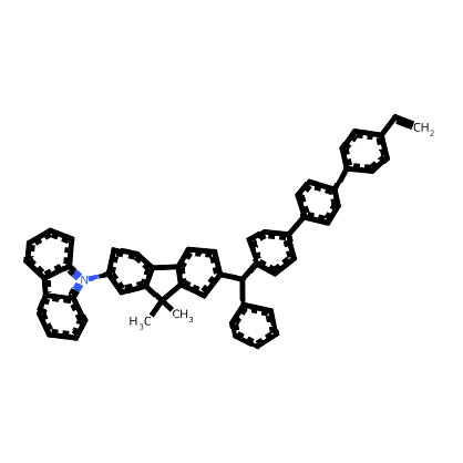 C=Cc1ccc(-c2ccc(-c3ccc(C(c4ccccc4)c4ccc5c(c4)C(C)(C)c4cc(-n6c7ccccc7c7ccccc76)ccc4-5)cc3)cc2)cc1